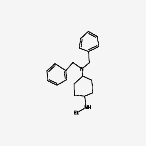 CCNC1CCC(N(Cc2ccccc2)Cc2ccccc2)CC1